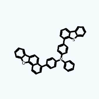 c1ccc(N(c2ccc(-c3cccc4c3ccc3c5ccccc5oc43)cc2)c2ccc(-c3cccc4c3sc3ccccc34)cc2)cc1